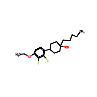 CCCCCC1(O)CCC(c2ccc(OCC)c(F)c2F)CC1